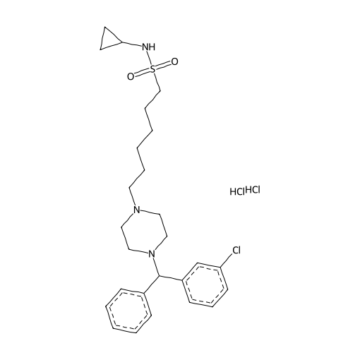 Cl.Cl.O=S(=O)(CCCCCCN1CCN(C(c2ccccc2)c2cccc(Cl)c2)CC1)NC1CC1